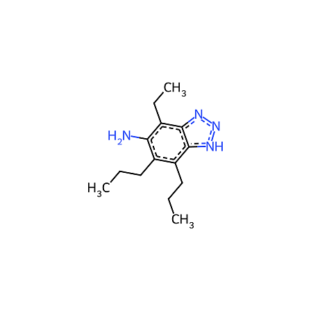 CCCc1c(N)c(CC)c2nn[nH]c2c1CCC